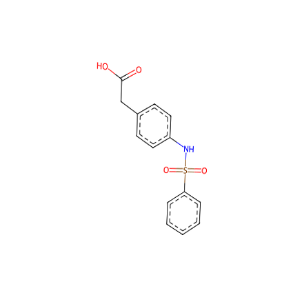 O=C(O)Cc1ccc(NS(=O)(=O)c2ccccc2)cc1